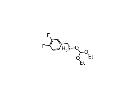 CCOC(OCC)O[SiH2]Cc1ccc(F)c(F)c1